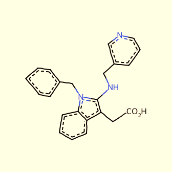 O=C(O)Cc1c(NCc2cccnc2)n(Cc2ccccc2)c2ccccc12